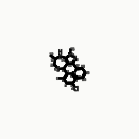 Cc1cc(Cl)ccc1C1SCC(C)Nc2c1c(-c1ccccn1)nn2C